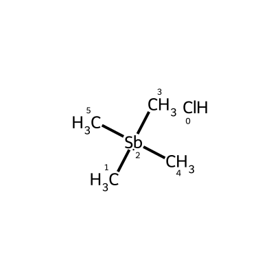 Cl.[CH3][Sb]([CH3])([CH3])[CH3]